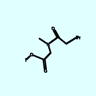 CC(C)CC(=O)N(C)CC(=O)OI